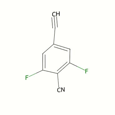 C#Cc1cc(F)c(C#N)c(F)c1